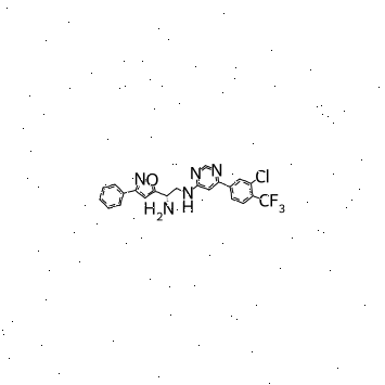 N[C@@H](CNc1cc(-c2ccc(C(F)(F)F)c(Cl)c2)ncn1)c1cc(-c2ccccc2)no1